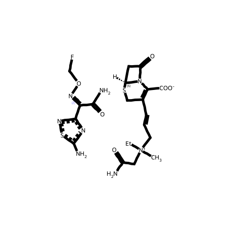 CC[N+](C)(CC=CC1=C(C(=O)[O-])N2C(=O)C[C@@H]2SC1)CC(N)=O.NC(=O)/C(=N\OCF)c1nsc(N)n1